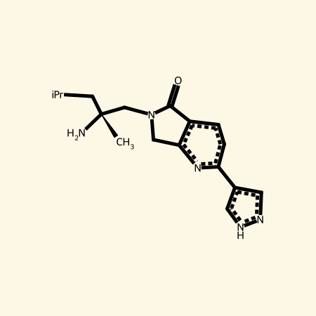 CC(C)C[C@@](C)(N)CN1Cc2nc(-c3cn[nH]c3)ccc2C1=O